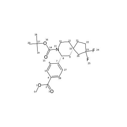 COC(=O)c1ccc([C@H]2C[C@]3(CCN2C(=O)OC(C)(C)C)CCC(F)(F)C3)cc1